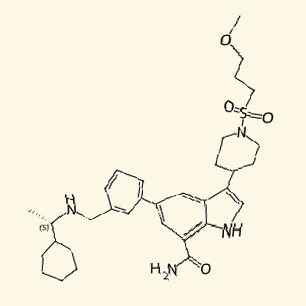 COCCCS(=O)(=O)N1CCC(c2c[nH]c3c(C(N)=O)cc(-c4cccc(CN[C@@H](C)C5CCCCC5)c4)cc23)CC1